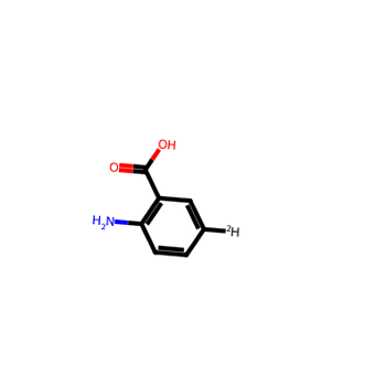 [2H]c1ccc(N)c(C(=O)O)c1